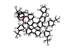 CC(C)(C)c1ccc(N(c2ccc(C(C)(C)C)cc2)c2cc3c(c4cc5c(cc24)oc2ccccc25)-c2c(cc(N(c4ccc(C(C)(C)C)cc4)c4ccc(C(C)(C)C)cc4)c4c2ccc2oc5ccccc5c24)C32c3ccccc3-c3ccccc32)cc1